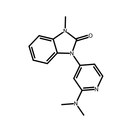 CN(C)c1cc(-n2c(=O)n(C)c3ccccc32)ccn1